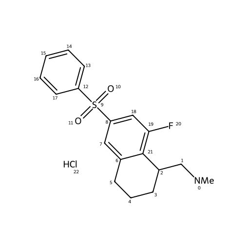 CNCC1CCCc2cc(S(=O)(=O)c3ccccc3)cc(F)c21.Cl